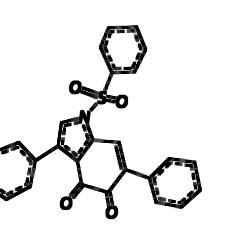 O=C1C(=O)c2c(-c3ccccc3)cn(S(=O)(=O)c3ccccc3)c2C=C1c1ccccc1